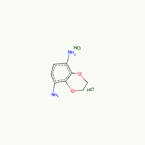 Cl.Cl.Nc1ccc(N)c2c1OCCO2